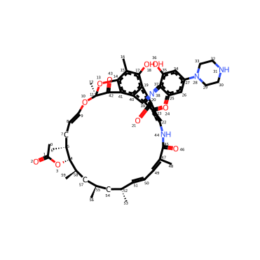 CC(=O)O[C@@H]1[C@H](C)C/C=C/O[C@@]2(C)Oc3c(C)c(O)c4c(=O)c(c5oc6cc(N7CCNCC7)cc(O)c6nc-5c4c3C2=O)NC(=O)/C(C)=C\C=C\[C@H](C)C[C@@H](C)C[C@H]1C